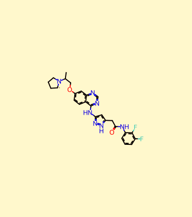 CC(COc1ccc2c(Nc3cc(CC(=O)Nc4cccc(F)c4F)[nH]n3)ncnc2c1)N1[CH]CCC1